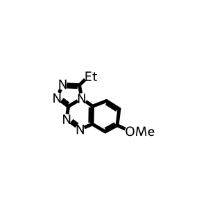 CCc1nnc2nnc3cc(OC)ccc3n12